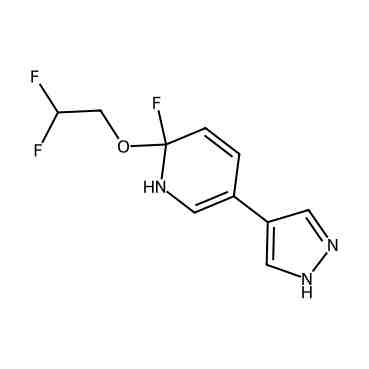 FC(F)COC1(F)C=CC(c2cn[nH]c2)=CN1